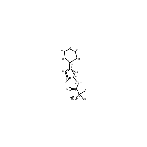 CCCCC(C)(C)C(=O)Nc1nc(C2CCCCC2)co1